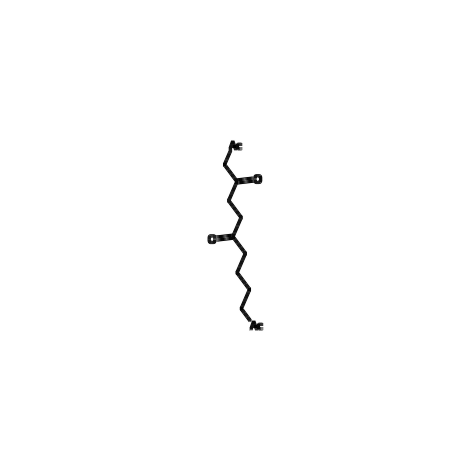 CC(=O)CCCCC(=O)CCC(=O)CC(C)=O